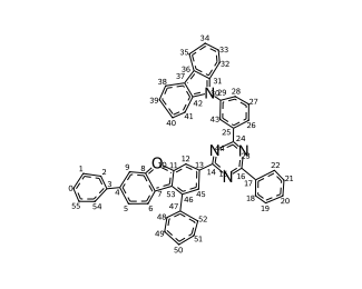 c1ccc(-c2ccc3c(c2)oc2cc(-c4nc(-c5ccccc5)nc(-c5cccc(-n6c7ccccc7c7ccccc76)c5)n4)cc(-c4ccccc4)c23)cc1